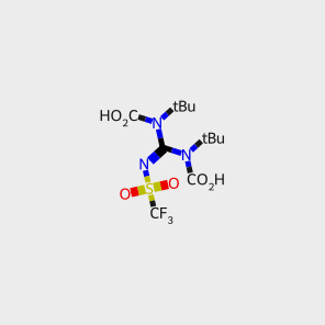 CC(C)(C)N(C(=O)O)C(=NS(=O)(=O)C(F)(F)F)N(C(=O)O)C(C)(C)C